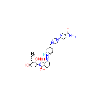 CCC1C(O)C(N2C(O)C3CC=CC(NCC4=CC=C(CN5CCN(C6CCC(C(N)=O)C=N6)CC5)CC4F)C3C2O)CC[C@H]1O